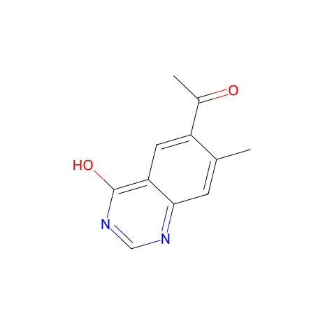 CC(=O)c1cc2c(O)ncnc2cc1C